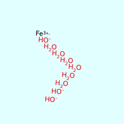 O.O.O.O.O.O.[Fe+3].[OH-].[OH-].[OH-]